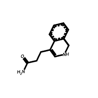 NC(=O)CCC1=CNCc2ccccc21